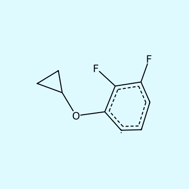 Fc1cc[c]c(OC2CC2)c1F